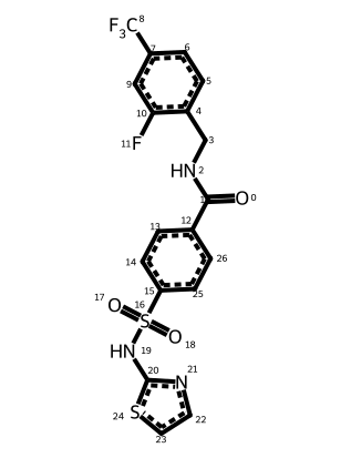 O=C(NCc1ccc(C(F)(F)F)cc1F)c1ccc(S(=O)(=O)Nc2nccs2)cc1